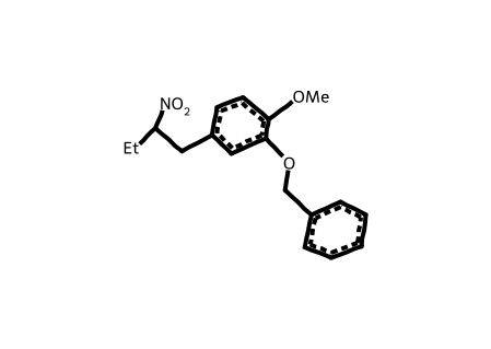 CCC(Cc1ccc(OC)c(OCc2ccccc2)c1)[N+](=O)[O-]